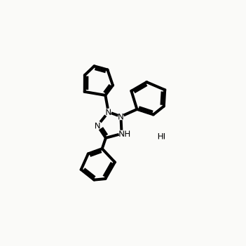 I.c1ccc(C2=NN(c3ccccc3)N(c3ccccc3)N2)cc1